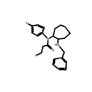 O=C(CCF)N(c1ccc(F)cc1)C1CCCCCC1NCc1ccccc1